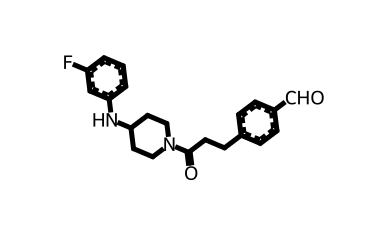 O=Cc1ccc(CCC(=O)N2CCC(Nc3cccc(F)c3)CC2)cc1